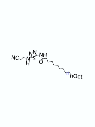 CCCCCCCC/C=C/CCCCCCCC(=O)Nc1nnc(NCCC#N)s1